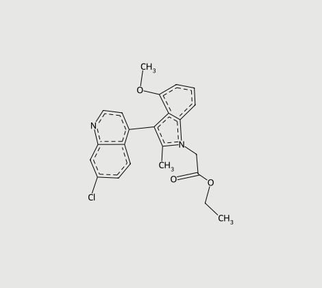 CCOC(=O)Cn1c(C)c(-c2ccnc3cc(Cl)ccc23)c2c(OC)cccc21